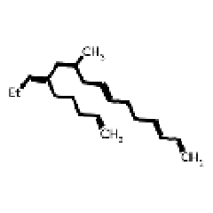 C=CC=CCCC=CCC(C)CC(=CCC)CCCC=C